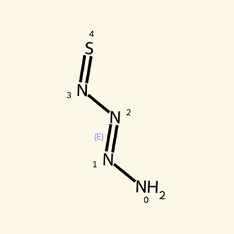 N/N=N/N=S